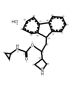 Cl.O=C(NC1CC1)OC(CC1c2ccccc2-c2ccccc21)C1CNC1